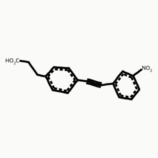 O=C(O)CCc1ccc(C#Cc2cccc([N+](=O)[O-])c2)cc1